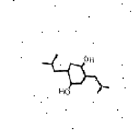 CC(C)CC1CC(O)C(CC(C)C)CC1O